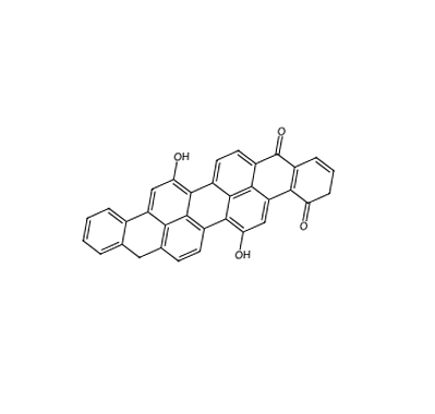 O=C1CC=CC2=C1c1cc(O)c3c4ccc5c6c(cc(O)c(c7ccc(c1c73)C2=O)c64)-c1ccccc1C5